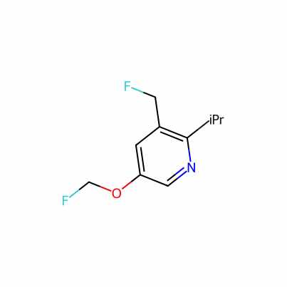 CC(C)c1ncc(OCF)cc1CF